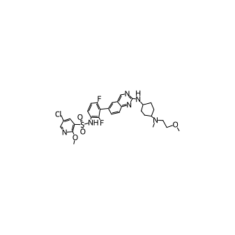 COCCN(C)C1CCC(Nc2ncc3cc(-c4c(F)ccc(NS(=O)(=O)c5cc(Cl)cnc5OC)c4F)ccc3n2)CC1